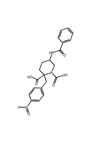 O=C(NC1CCC(Cc2ccc([N+](=O)[O-])cc2)(C(=O)O)N(C(=O)O)C1)c1ccccc1